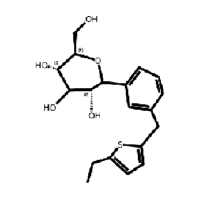 CCc1ccc(Cc2cccc(C3O[C@H](CO)[C@@H](O)C(O)[C@H]3O)c2)s1